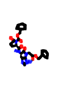 O=C(CNC(=O)[C@H](Cc1c[nH]cn1)NC(=O)[C@@H]1CCC(=O)N1C(=O)OCc1ccccc1)OCc1ccccc1